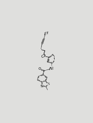 CCC#CCCOc1cccc(NC(=O)c2ccc3nc(C)sc3c2)c1